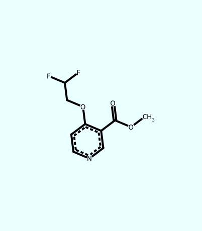 COC(=O)c1cnccc1OCC(F)F